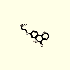 CNCCOc1ccc2c3c(c(=O)[nH]c2c1)=CCCN=3